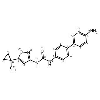 Nc1ccc(-c2ccc(NC(=O)Nc3cc(C4(C(F)(F)F)CC4)on3)cc2)cn1